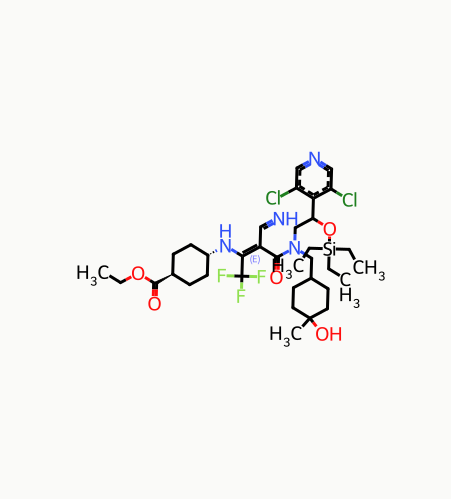 CCOC(=O)[C@H]1CC[C@H](N/C(=C(\C=N)C(=O)N(CC2CCC(C)(O)CC2)CC(O[Si](CC)(CC)CC)c2c(Cl)cncc2Cl)C(F)(F)F)CC1